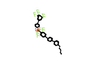 CCCCCc1ccc(-c2ccc(-c3cc(F)c(C(F)(F)Oc4ccc(-c5cc(F)c(F)c(F)c5)cc4)c(F)c3)cc2)cc1